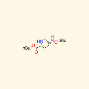 CCCCON[C@@H]1CCC(C(=O)OCCCC)NC1